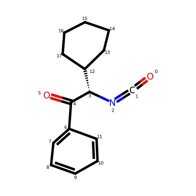 O=C=N[C@H](C(=O)c1ccccc1)C1CCCCC1